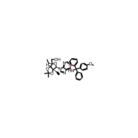 C#C[C@@]12OC(C)(C)O[C@@H]1[C@](CC)(CO)O[C@H]2n1cnc2c(NC(c3ccccc3)(c3ccccc3)c3ccc(OC)cc3)ncnc21